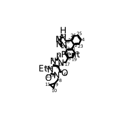 CCCCCc1nc2c(c(=O)n(CC3CC3)c(=O)n2CC)n1Cc1ccc(-c2ccccc2-c2nnn[nH]2)cc1